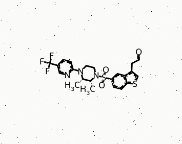 C[C@@H]1[C@H](C)N(c2ccc(C(F)(F)F)cn2)CCN1S(=O)(=O)c1ccc2scc(CC=O)c2c1